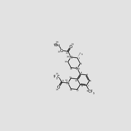 C[C@@H]1CN(c2ccc(C(F)(F)F)c3c2CN(C(=O)C(F)(F)F)CC3)CCN1C(=O)OC(C)(C)C